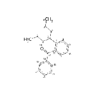 CCCC(CCC)c1ccccc1C(=O)c1ccccc1